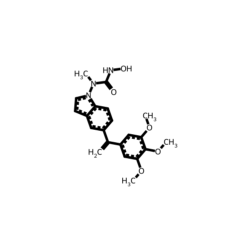 C=C(c1cc(OC)c(OC)c(OC)c1)c1ccc2c(ccn2N(C)C(=O)NO)c1